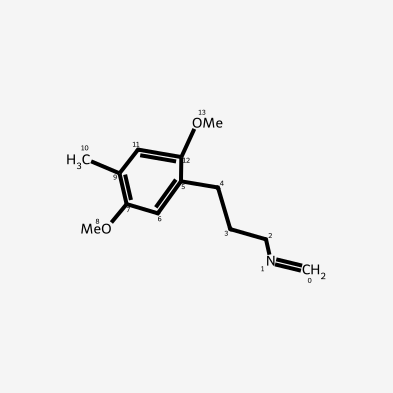 C=NCCCc1cc(OC)c(C)cc1OC